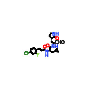 O=CC(C[C@@H]1CCNC1=O)NC(=O)C(CC1CC1)NC(=O)/C=C/c1ccc(Cl)cc1F